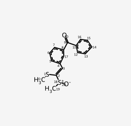 CS/C(=C\c1cccc(C(=O)c2ccccc2)c1)[S+](C)[O-]